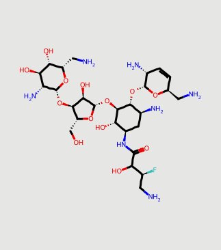 NC[C@@H]1O[C@H](O[C@H]2[C@@H](O)[C@H](O[C@@H]3[C@@H](O)[C@H](NC(=O)C(O)[C@@H](F)CN)C[C@H](N)[C@H]3O[C@H]3O[C@H](CN)C=C[C@H]3N)O[C@@H]2CO)[C@H](N)[C@@H](O)[C@@H]1O